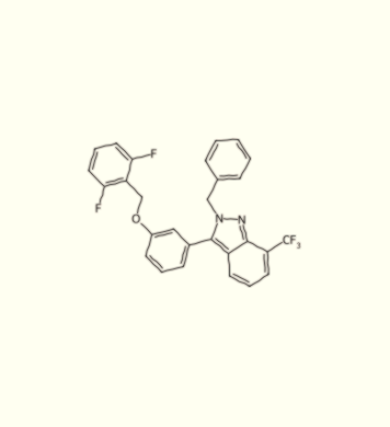 Fc1cccc(F)c1COc1cccc(-c2c3cccc(C(F)(F)F)c3nn2Cc2ccccc2)c1